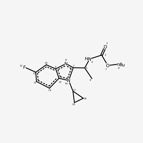 CCCCOC(=O)NC(C)c1nc2cc(F)ccc2n1C1CC1